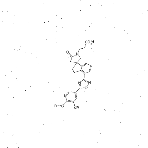 CC(C)Oc1ncc(-c2nc(-c3cccc4c3CCC43CC(=O)N(CCC(=O)O)C3)no2)cc1C#N